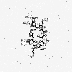 CC[C@H](C)[C@H](NC(=O)[C@H](CO)NC(=O)[C@H](CO)NC(=O)[C@H](CC(C)C)NC(=O)[C@H](CCCCN)NC(=O)[C@H](Cc1c[nH]cn1)NC(=O)[C@H](C)N)C(=O)N[C@@H](CCC(=O)O)C(=O)N[C@@H](CO)C(=O)N[C@@H](CC(=O)O)C(=O)N[C@H](C(=O)O)C(C)C